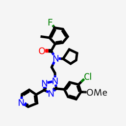 COc1ccc(-c2nc(-c3ccncc3)nn2CCN(C(=O)c2cccc(F)c2C)C2CCCC2)cc1Cl